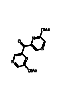 COc1cncc(C(=O)c2cncc(OC)n2)n1